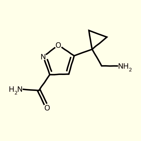 NCC1(c2cc(C(N)=O)no2)CC1